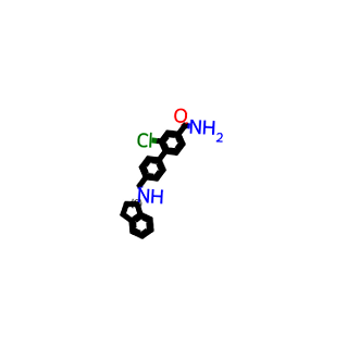 NC(=O)c1ccc(-c2ccc(CN[C@H]3CCc4ccccc43)cc2)c(Cl)c1